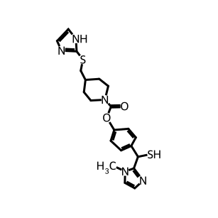 Cn1ccnc1C(S)c1ccc(OC(=O)N2CCC(CSc3ncc[nH]3)CC2)cc1